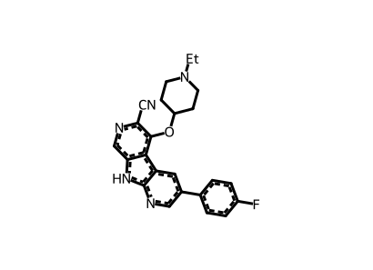 CCN1CCC(Oc2c(C#N)ncc3[nH]c4ncc(-c5ccc(F)cc5)cc4c23)CC1